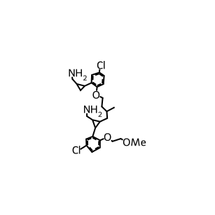 COCCOc1ccc(Cl)cc1C1C(CN)C1CC(C)CCOc1ccc(Cl)cc1C1CC1CN